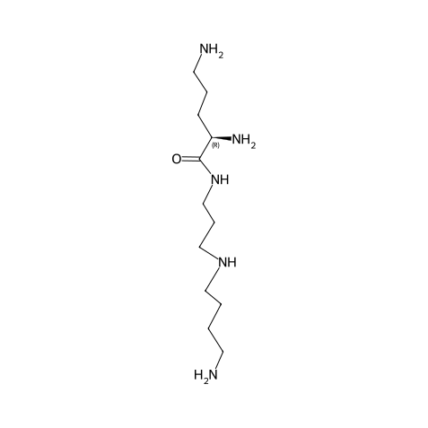 NCCCCNCCCNC(=O)[C@H](N)CCCN